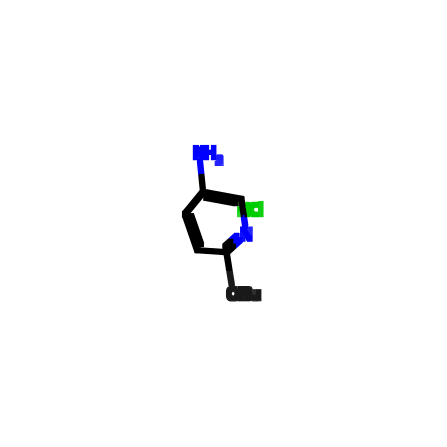 CC(C)COc1ccc(N)cn1.Cl